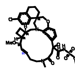 CO[C@H]1/C=C/CCN(C)C(=O)CC(O)(C(=O)NS(=O)(=O)N2CCC2)c2ccc3c(c2)N(C[C@@H]2CC[C@H]21)C[C@@]1(CCCc2cc(Cl)ccc21)CO3